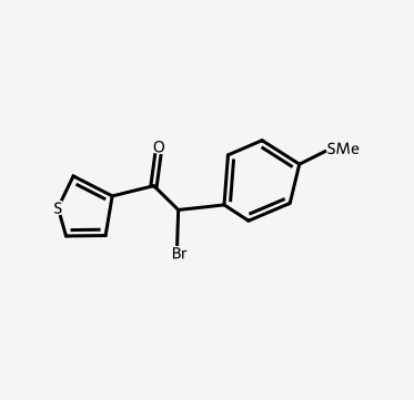 CSc1ccc(C(Br)C(=O)c2ccsc2)cc1